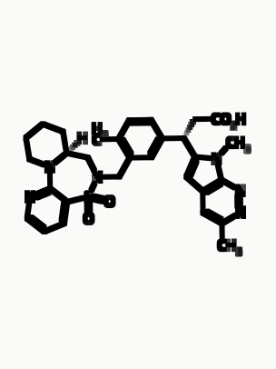 Cc1cc2cc([C@@H](CC(=O)O)c3ccc(C)c(CN4C[C@@H]5CCCCN5c5ncccc5S4(=O)=O)c3)n(C)c2nn1